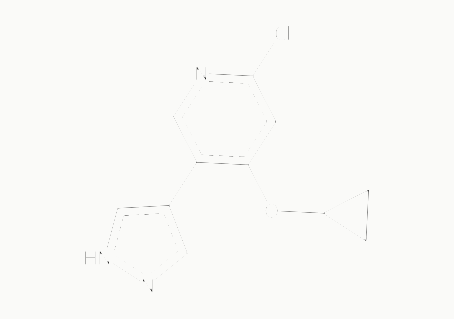 Clc1cc(OC2CC2)c(-c2cn[nH]c2)cn1